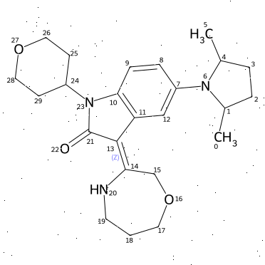 CC1CCC(C)N1c1ccc2c(c1)/C(=C1\COCCCN1)C(=O)N2C1CCOCC1